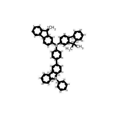 C=C1c2ccccc2-c2ccc(N(c3ccc(-c4ccc5c(c4)c4ccccc4n5-c4ccccc4)cc3)c3ccc4c(c3)C(C)(C)c3ccccc3-4)cc21